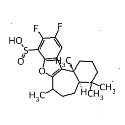 CC1CC[C@@H]2C(C)(C)CCC[C@@]2(C)c2c1oc1c(S(=O)O)c(F)c(F)cc21